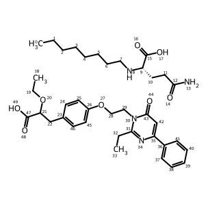 CCCCCCCCN[C@@H](CCC(N)=O)C(=O)O.CCOC(Cc1ccc(OCCn2c(CC)nc(-c3ccccc3)cc2=O)cc1)C(=O)O